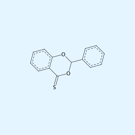 S=C1OC(c2ccccc2)Oc2ccccc21